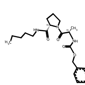 CCCCCNC(=O)[C@@H]1CCCN1C(=O)[C@H](C)NC(=O)OCc1ccccc1